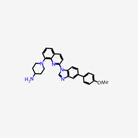 COc1ccc(-c2ccc3c(c2)ncn3-c2ccc3cccc(N4CCC(N)CC4)c3n2)cc1